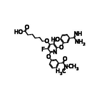 CN(C)C(=O)c1cccc(Oc2nc(Oc3cc(C(=N)N)ccc3O)c(F)c(OCCCCCC(=O)O)c2F)c1